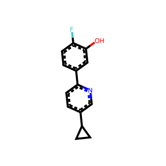 Oc1cc(-c2ccc(C3CC3)cn2)ccc1F